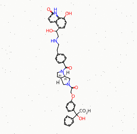 O=C(COc1cccc(C(O)(C(=O)O)c2ccccc2)c1)N1C[C@H]2CCN(C(=O)c3ccc(CCNCC(O)c4ccc(O)c5[nH]c(=O)ccc45)cc3)[C@H]2C1